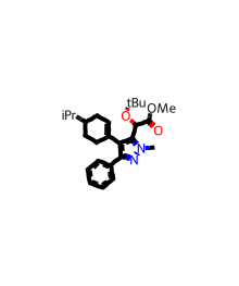 COC(=O)C(OC(C)(C)C)c1c(C2=CCC(C(C)C)CC2)c(-c2ccccc2)nn1C